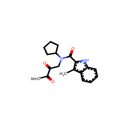 COC(=O)C(=O)CN(C(=O)c1[nH]c2ccccc2c1C)C1CCCC1